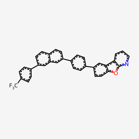 FC(F)(F)c1ccc(-c2ccc3ccc(-c4ccc(-c5ccc6oc7ncccc7c6c5)cc4)cc3c2)cc1